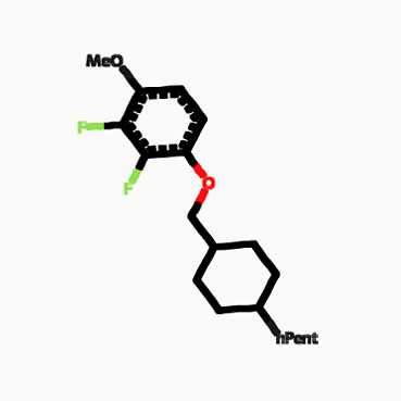 CCCCCC1CCC(COc2ccc(OC)c(F)c2F)CC1